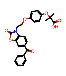 CC(C)(Oc1ccc(OCCn2c(=O)sc3cc(C(=O)c4ccccc4)ccc32)cc1)C(=O)O